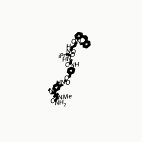 CNC(C(N)=O)C(C)(C)c1cn(C)c2cc(C)c(CNC(=O)OCc3ccc(NC(=O)CNC(=O)C(NC(=O)CCC(=O)N4Cc5ccccc5C#Cc5ccccc54)C(C)C)cc3)cc12